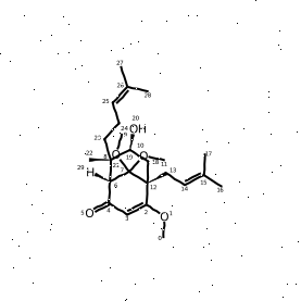 COC1=CC(=O)[C@H]2C(OC)(OC)[C@]1(CC=C(C)C)C[C@H](O)[C@@]2(C)CCC=C(C)C